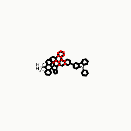 CC1(C)c2ccccc2C2(c3ccccc3-c3cc(N(c4ccc(-c5ccc6c(c5)c5ccccc5n6-c5ccccc5)cc4)c4ccccc4-c4ccccc4-c4ccccc4-c4ccccc4)ccc32)c2ccccc21